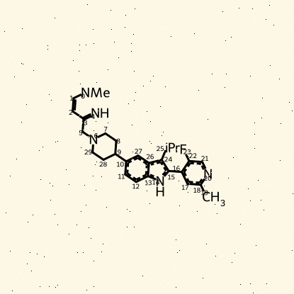 CN/C=C\C(=N)CN1CCC(c2ccc3[nH]c(-c4cc(C)ncc4F)c(C(C)C)c3c2)CC1